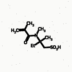 C=C(C)C(=O)N(C)C(C)(CC)CS(=O)(=O)O